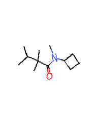 CC(C)C(C)(C)C(=O)N(C)C1CCC1